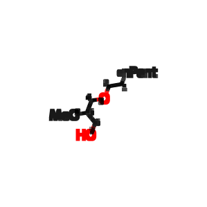 CCCCCCCOCC(CO)OC